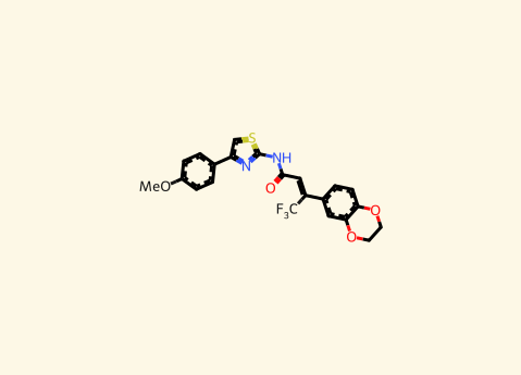 COc1ccc(-c2csc(NC(=O)/C=C(/c3ccc4c(c3)OCCO4)C(F)(F)F)n2)cc1